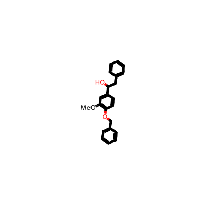 COc1cc(C(O)Cc2ccccc2)ccc1OCc1ccccc1